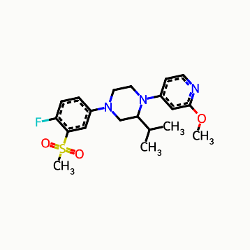 COc1cc(N2CCN(c3ccc(F)c(S(C)(=O)=O)c3)CC2C(C)C)ccn1